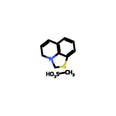 C1=Cc2cccc3c2N(C1)CS3.CS(=O)(=O)O